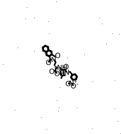 CC(C)C[C@H](N[C@H](CCN1C(=O)c2cc3ccccc3cc2C1=O)C(=O)O)C(=O)NCc1cccc([N+](=O)[O-])c1